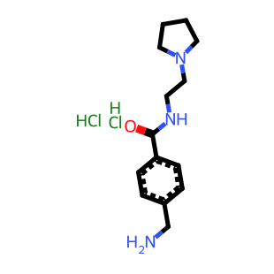 Cl.Cl.NCc1ccc(C(=O)NCCN2CCCC2)cc1